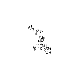 N#C/C(=N\O)C(=O)N[C@H](c1cn2ncc(C(NC(=O)CC3CC(F)(F)C3)C3CC3)cc2n1)C1CCC(F)(F)CC1